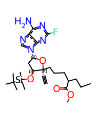 C#C[C@@]1(CCCC(CCC)C(=O)OC)O[C@@H](n2cnc3c(N)nc(F)nc32)C[C@@H]1O[Si](C)(C)C(C)(C)C